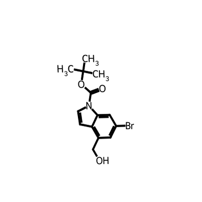 CC(C)(C)OC(=O)n1ccc2c(CO)cc(Br)cc21